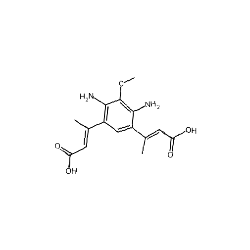 COc1c(N)c(C(C)=CC(=O)O)cc(C(C)=CC(=O)O)c1N